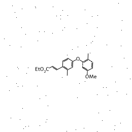 CCOC(=O)C=Cc1ccc(Oc2cc(OC)ccc2C)cc1C